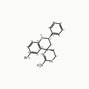 NC1=N[C@@]2(CCS1)C[C@H](c1ccccc1)Oc1ccc(Br)cc12